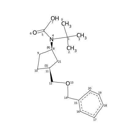 CC(C)(C)N(C(=O)O)[C@@H]1CC[C@H](COCc2ccccc2)C1